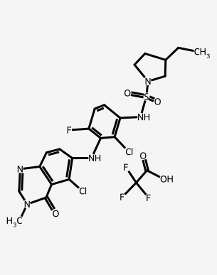 CCC1CCN(S(=O)(=O)Nc2ccc(F)c(Nc3ccc4ncn(C)c(=O)c4c3Cl)c2Cl)C1.O=C(O)C(F)(F)F